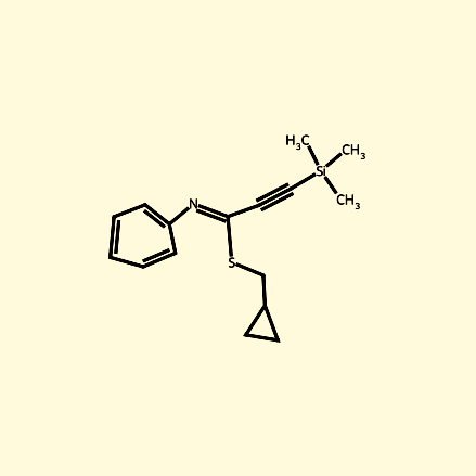 C[Si](C)(C)C#CC(=Nc1ccccc1)SCC1CC1